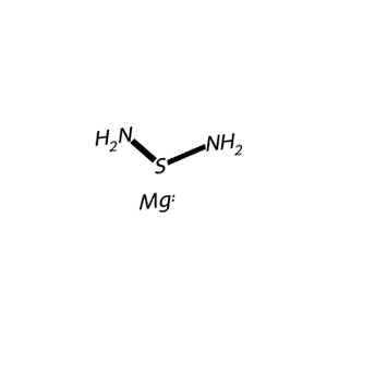 NSN.[Mg]